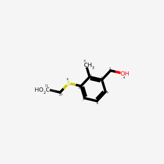 Cc1c(CO)cccc1SCC(=O)O